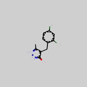 CC(C)c1[nH][nH]c(=O)c1Cc1ccc(Br)cc1Cl